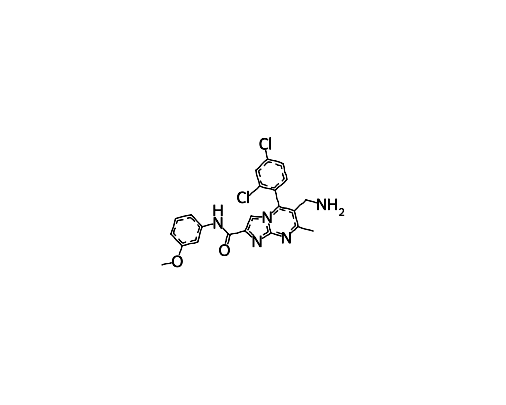 COc1cccc(NC(=O)c2cn3c(-c4ccc(Cl)cc4Cl)c(CN)c(C)nc3n2)c1